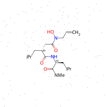 C=CCN(O)C(=O)C[C@@H](CC(C)C)C(=O)N[C@@H](CC(C)C)C(=O)NC